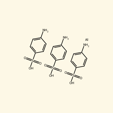 Nc1ccc(S(=O)(=O)O)cc1.Nc1ccc(S(=O)(=O)O)cc1.Nc1ccc(S(=O)(=O)O)cc1.[Al]